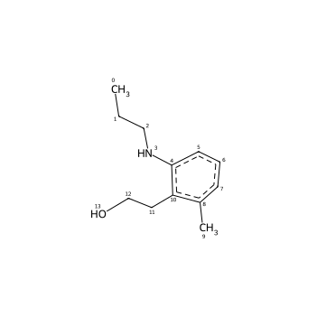 CCCNc1cccc(C)c1CCO